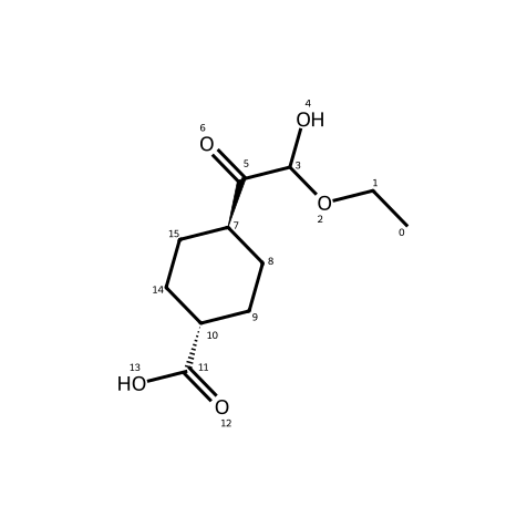 CCOC(O)C(=O)[C@H]1CC[C@H](C(=O)O)CC1